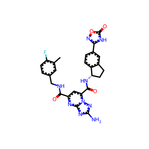 Cc1cc(CNC(=O)c2cc(C(=O)N[C@H]3CCc4cc(-c5noc(=O)[nH]5)ccc43)n3nc(N)nc3n2)ccc1F